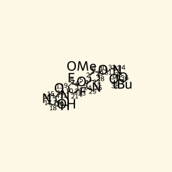 COc1cc2c(Oc3c(F)cc(NC(=O)c4cnccc4O)cc3F)ccnc2cc1OCCN(C)C(=O)OC(C)(C)C